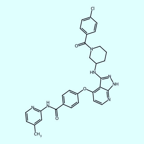 Cc1ccnc(NC(=O)c2ccc(Oc3ccnc4[nH]nc(NC5CCCN(C(=O)c6ccc(Cl)cc6)C5)c34)cc2)c1